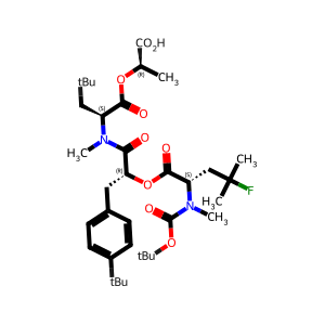 C[C@@H](OC(=O)[C@H](CC(C)(C)C)N(C)C(=O)[C@@H](Cc1ccc(C(C)(C)C)cc1)OC(=O)[C@H](CC(C)(C)F)N(C)C(=O)OC(C)(C)C)C(=O)O